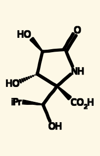 CC(C)[C@H](O)[C@@]1(C(=O)O)NC(=O)[C@H](O)[C@H]1O